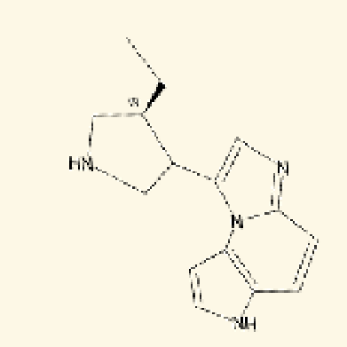 CC[C@@H]1CNCC1c1cnc2ccc3[nH]ccc3n12